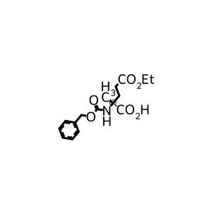 CCOC(=O)CC[C@](C)(NC(=O)OCc1ccccc1)C(=O)O